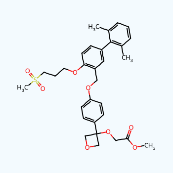 COC(=O)COC1(c2ccc(OCc3cc(-c4c(C)cccc4C)ccc3OCCCS(C)(=O)=O)cc2)COC1